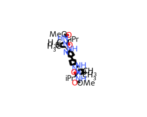 COC(=O)N[C@H](C(=O)N1C[Si](C)(C)C[C@H]1c1nc2cc(-c3ccc4nc([C@@H]5C[Si](C)(C)CN5C(=O)[C@@H](NC(=O)OC)C(C)C)[nH]c4c3)ccc2[nH]1)C(C)C